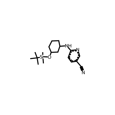 CC(C)(C)[Si](C)(C)OC1CCCC(Nc2ccc(C#N)cn2)C1